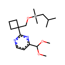 COC(OC)c1ccnc(C2(CO[Si](C)(C)CC(C)C)CCC2)n1